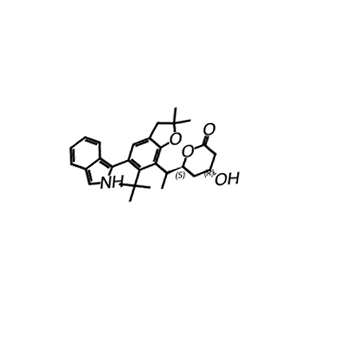 CC(c1c2c(cc(-c3[nH]cc4ccccc34)c1C(C)(C)C)CC(C)(C)O2)[C@@H]1C[C@@H](O)CC(=O)O1